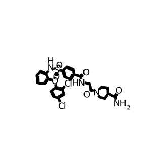 NC(=O)C1CCN(C(=O)CNC(=O)c2ccc(S(=O)(=O)Nc3ccccc3Oc3ccc(Cl)cc3Cl)cc2)CC1